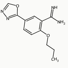 CCCOc1ccc(-c2nnco2)cc1C(=N)N